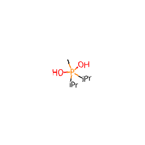 CC(C)P(C)(O)(O)C(C)C